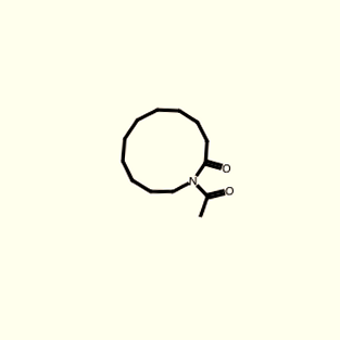 CC(=O)N1CCCCCCCCCCC1=O